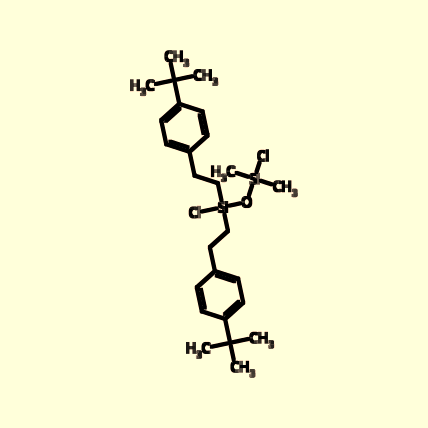 CC(C)(C)c1ccc(CC[Si](Cl)(CCc2ccc(C(C)(C)C)cc2)O[Si](C)(C)Cl)cc1